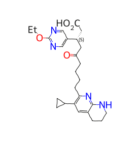 CCOc1ncc([C@H](CC(=O)O)CC(=O)CCCCc2nc3c(cc2C2CC2)CCCN3)cn1